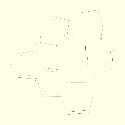 C1=Cc2cc3ccccc3cc2CC1.c1ccc2c(c1)CCCc1ccccc1-2